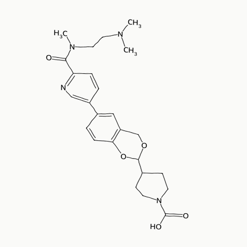 CN(C)CCN(C)C(=O)c1ccc(-c2ccc3c(c2)COC(C2CCN(C(=O)O)CC2)O3)cn1